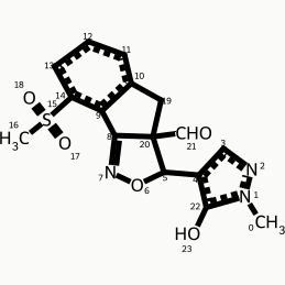 Cn1ncc(C2ON=C3c4c(cccc4S(C)(=O)=O)CC32C=O)c1O